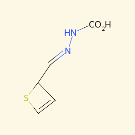 O=C(O)NN=CC1C=CS1